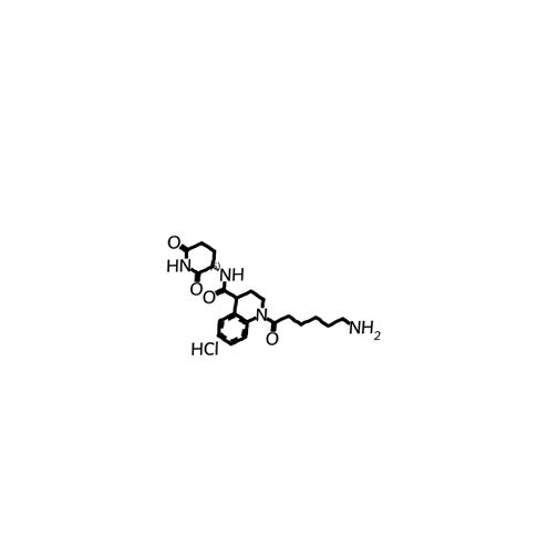 Cl.NCCCCCC(=O)N1CCC(C(=O)N[C@H]2CCC(=O)NC2=O)c2ccccc21